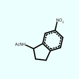 CC(=O)NC1CCc2ccc([N+](=O)[O-])cc21